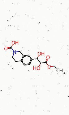 CCOC(=O)C(O)C(O)c1ccc2c(c1)CN(C(=O)O)CC2